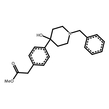 COC(=O)Cc1ccc(C2(O)CCN(Cc3ccccc3)CC2)cc1